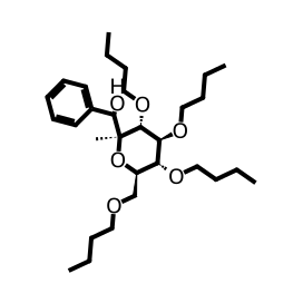 CCCCOC[C@H]1O[C@@](C)(C(O)c2ccccc2)[C@H](OCCCC)[C@@H](OCCCC)[C@@H]1OCCCC